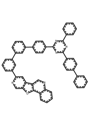 c1ccc(-c2ccc(-c3nc(-c4ccccc4)nc(-c4ccc(-c5cccc(-c6cccc(-c7cc8c(cn7)oc7c9ccccc9ncc87)c6)c5)cc4)n3)cc2)cc1